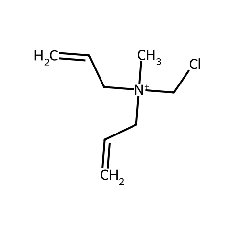 C=CC[N+](C)(CCl)CC=C